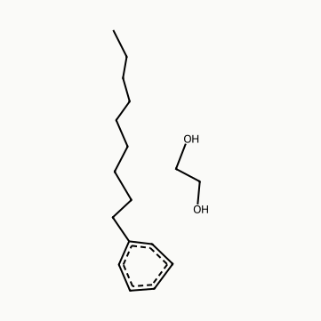 CCCCCCCCCc1ccccc1.OCCO